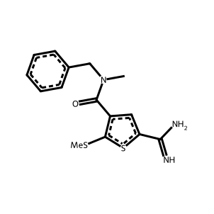 CSc1sc(C(=N)N)cc1C(=O)N(C)Cc1ccccc1